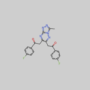 Cc1nnc2nc(CC(=O)c3ccc(F)cc3)c(CC(=O)c3ccc(F)cc3)nn12